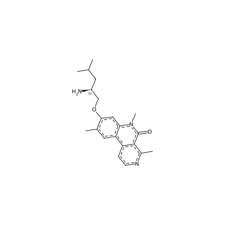 Cc1cc2c3ccnc(C)c3c(=O)n(C)c2cc1OC[C@@H](N)CC(C)C